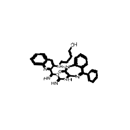 N=C(NC1N=C(c2ccccc2)c2ccccc2NC1=O)OC(=N)c1nc2ccccc2cc1NCCCCO